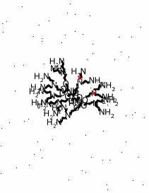 NCCCN(CCN)CCCOCC(COCCCN(CCCN)CCCN)(NC(=O)C(OCCCN(CCCN)CCCN)C(OCCCN(CCCN)CCCN)C(=O)NC(COCCCN(CCCN)CCCN)(COCCCN(CCCN)CCCN)OCCCN(CCCN)CCCN)OCCCN(CCCN)CCCN